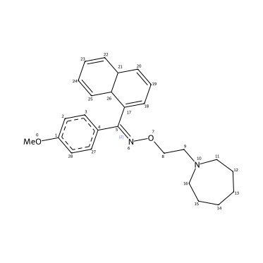 COc1ccc(/C(=N/OCCN2CCCCCC2)C2=CC=CC3C=CC=CC23)cc1